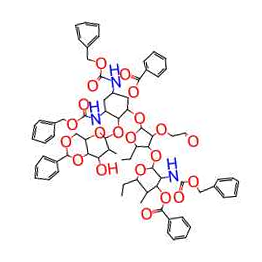 CCC1OC(OC2C(CC)OC(OC3C(OC(=O)c4ccccc4)C(NC(=O)OCc4ccccc4)CC(NC(=O)OCc4ccccc4)C3OC3OC4COC(c5ccccc5)OC4C(O)C3C)C2OCC=O)C(NC(=O)OCc2ccccc2)C(OC(=O)c2ccccc2)C1C